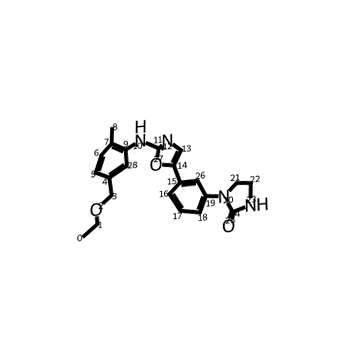 CCOCc1ccc(C)c(Nc2ncc(-c3cccc(N4CCNC4=O)c3)o2)c1